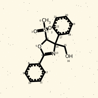 CS(=O)(=O)C1OC(c2ccccc2)=NC1(CO)c1ccccc1